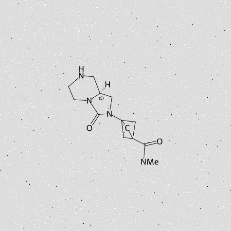 CNC(=O)C12CC(N3C[C@@H]4CNCCN4C3=O)(C1)C2